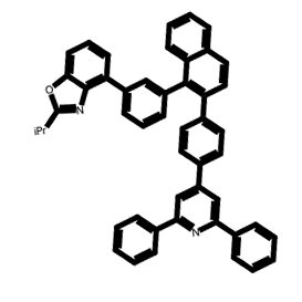 CC(C)c1nc2c(-c3cccc(-c4c(-c5ccc(-c6cc(-c7ccccc7)nc(-c7ccccc7)c6)cc5)ccc5ccccc45)c3)cccc2o1